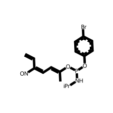 C=C/C(=C\C=C(/C)OP(NC(C)C)Oc1ccc(Br)cc1)N=O